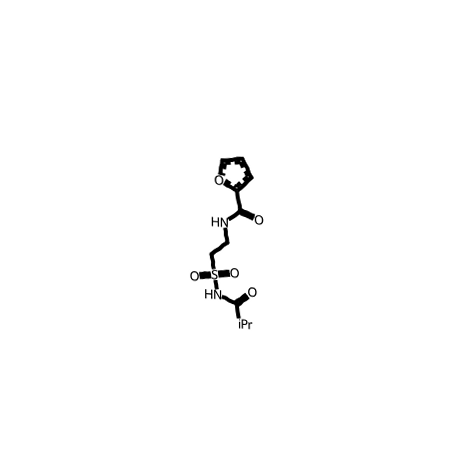 CC(C)C(=O)NS(=O)(=O)CCNC(=O)c1ccco1